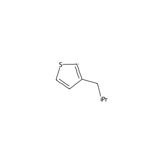 CC(C)Cc1[c]scc1